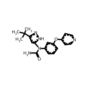 CC(C)(C)c1cc(N(C(N)=O)c2cccc(Oc3ccncc3)c2)[nH]n1